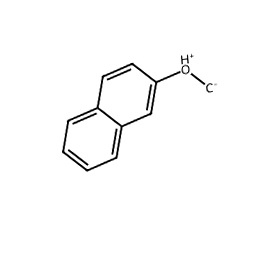 [CH2-][OH+]c1ccc2ccccc2c1